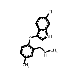 CNCc1cc(C)ccc1Sc1c[nH]c2cc(Cl)ccc12